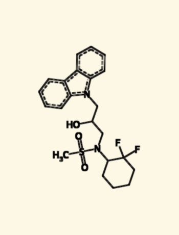 CS(=O)(=O)N(CC(O)Cn1c2ccccc2c2ccccc21)C1CCCCC1(F)F